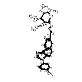 CO[C@@H]1[C@@H](OC)[C@H](C)O[C@@H](O/N=C/c2ccc3c(ccc4c3ncn4-c3ccc(C)cc3)c2)[C@@H]1OC